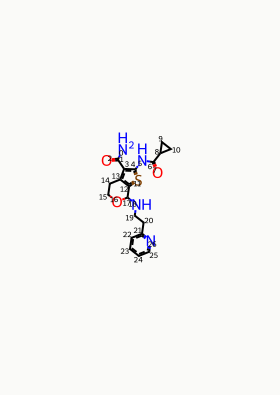 NC(=O)c1c(NC(=O)C2CC2)sc2c1CCOC2NCCc1ccccn1